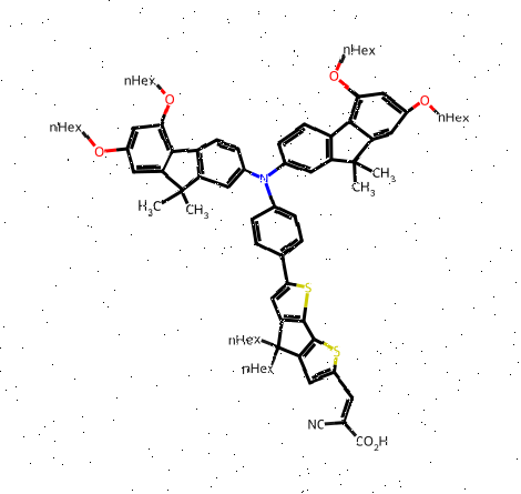 CCCCCCOc1cc(OCCCCCC)c2c(c1)C(C)(C)c1cc(N(c3ccc(-c4cc5c(s4)-c4sc(/C=C(\C#N)C(=O)O)cc4C5(CCCCCC)CCCCCC)cc3)c3ccc4c(c3)C(C)(C)c3cc(OCCCCCC)cc(OCCCCCC)c3-4)ccc1-2